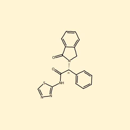 O=C(Nc1nncs1)[C@@H](c1ccccc1)N1Cc2ccccc2C1=O